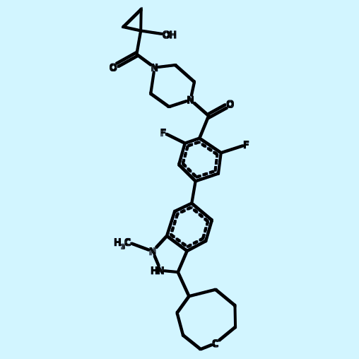 CN1NC(C2CCCCCCC2)c2ccc(-c3cc(F)c(C(=O)N4CCN(C(=O)C5(O)CC5)CC4)c(F)c3)cc21